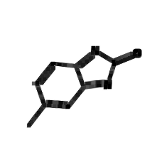 Cc1[c]cc2c(c1)=NC(=O)N=2